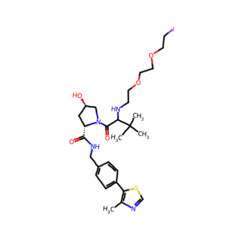 Cc1ncsc1-c1ccc(CNC(=O)[C@@H]2C[C@@H](O)CN2C(=O)C(NCCOCCOCCI)C(C)(C)C)cc1